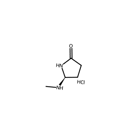 CN[C@@H]1CCC(=O)N1.Cl